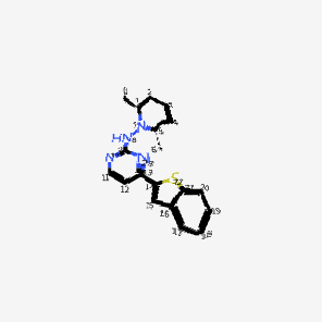 C[C@H]1CCC[C@H](C)N1Nc1nccc(-c2cc3ccccc3s2)n1